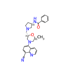 C[C@@H]1CN(c2ccc(C#N)c3ncccc23)C[C@H](CN2CC[C@H](NC(=O)c3ccccc3)C2)O1